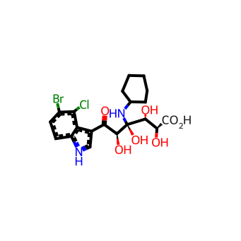 O=C(O)[C@@H](O)[C@@H](O)[C@@](O)(NC1CCCCC1)[C@@H](O)C(=O)c1c[nH]c2ccc(Br)c(Cl)c12